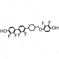 Oc1ccc(OCC2CCC(c3ccc(-c4ccc(O)c(F)c4F)c(F)c3F)CC2)c(F)c1F